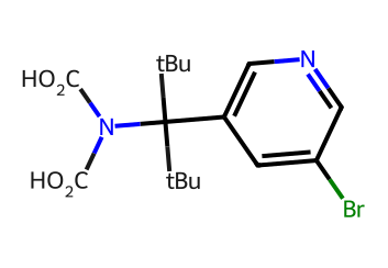 CC(C)(C)C(c1cncc(Br)c1)(N(C(=O)O)C(=O)O)C(C)(C)C